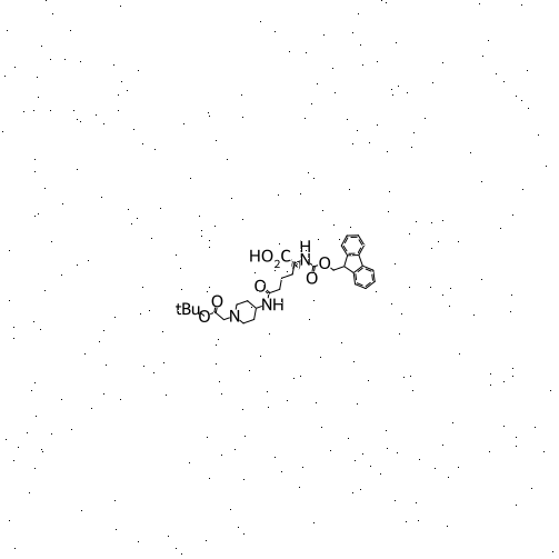 CC(C)(C)OC(=O)CN1CCC(NC(=O)CCC[C@@H](NC(=O)OCC2c3ccccc3-c3ccccc32)C(=O)O)CC1